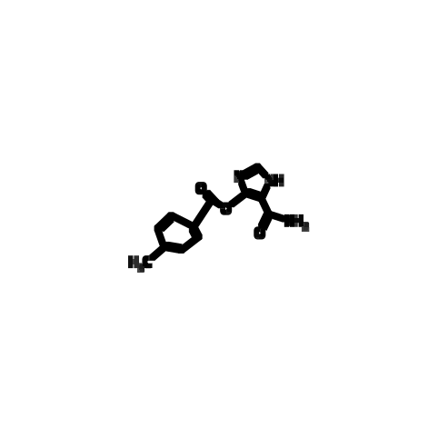 Cc1ccc(C(=O)Oc2nc[nH]c2C(N)=O)cc1